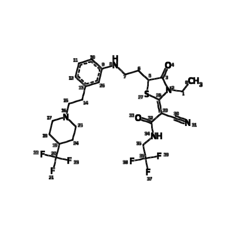 CCN1C(=O)C(CCNc2cccc(CCN3CCC(C(F)(F)F)CC3)c2)S/C1=C(/C#N)C(=O)NCC(F)(F)F